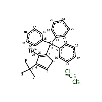 CC(C)(C)C1=CCC([Si](c2ccccc2)(c2ccccc2)c2ccccc2)=[C]1[Ti+3].[Cl-].[Cl-].[Cl-]